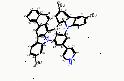 CC(C)(C)c1ccc2c(c1)c1cc(C(C)(C)C)cc3c1n2-c1cc(C2=CCNC=C2)cc2c1B3c1c3ccc4ccccc4c3cc3c4ccc(C(C)(C)C)cc4n-2c13